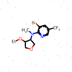 CCOC1COCC1N(C)c1ncc(C(F)(F)F)cc1Br